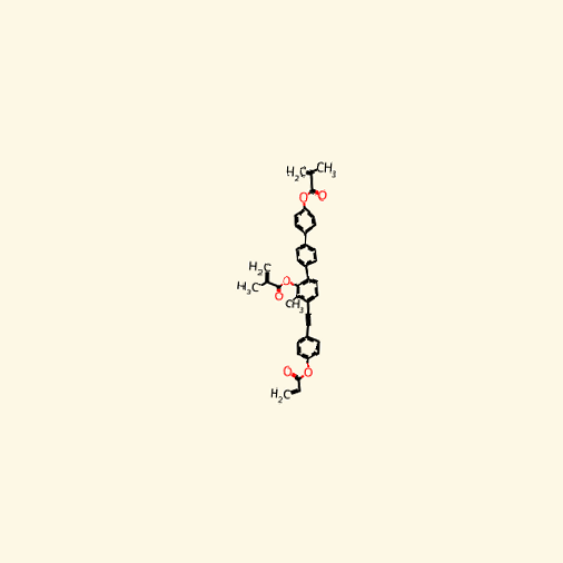 C=CC(=O)Oc1ccc(C#Cc2ccc(-c3ccc(-c4ccc(OC(=O)C(=C)C)cc4)cc3)c(OC(=O)C(=C)C)c2C)cc1